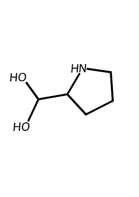 OC(O)C1CCCN1